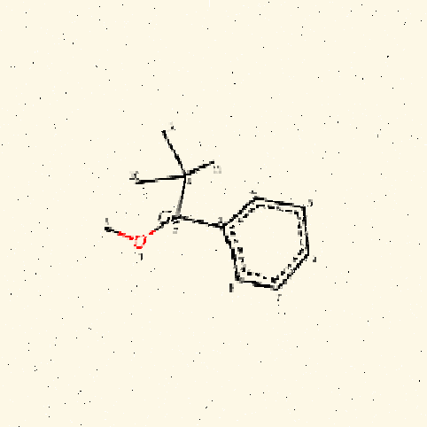 C[O][Ge]([c]1ccccc1)[C](C)(C)C